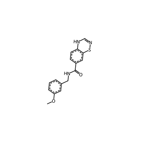 COc1cccc(CNC(=O)c2ccc3c(c2)SN=CN3)c1